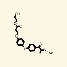 CC(=O)O/N=C(\C)C(=O)c1ccc(Sc2ccc(OCCC(=O)OCCO)cc2)cc1